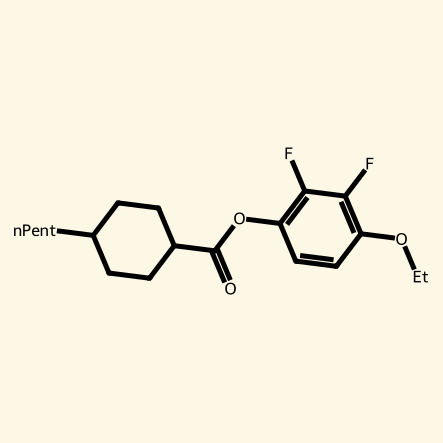 CCCCCC1CCC(C(=O)Oc2ccc(OCC)c(F)c2F)CC1